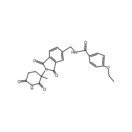 CCOc1ccc(C(=O)NCc2ccc3c(c2)C(=O)N(C2(C)CCC(=O)NC2=O)C3=O)cc1